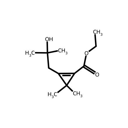 CCOC(=O)C1=C(CC(C)(C)O)C1(C)C